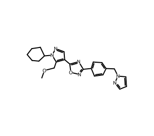 COCc1c(-c2nc(-c3ccc(Cn4cccn4)cc3)no2)cnn1C1CCCCC1